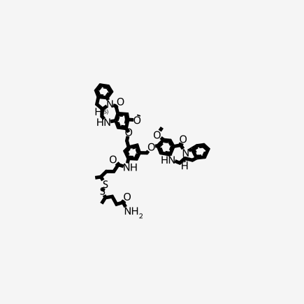 COc1cc2c(cc1OCc1cc(COc3cc4c(cc3OC)C(=O)N3c5ccccc5C[C@H]3CN4)cc(NC(=O)CCC(C)SSC(C)CCC(N)=O)c1)NC[C@@H]1Cc3ccccc3N1C2=O